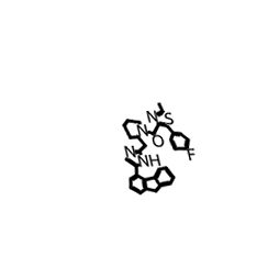 Cc1nc(C(=O)N2CCCCC2Cc2ncc(-c3cccc4c3-c3ccccc3C4)[nH]2)c(-c2ccc(F)cc2)s1